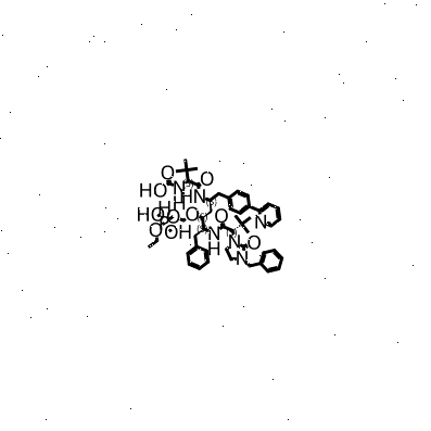 CCO[PH](O)(O)OCO[C@@H](C[C@H](Cc1ccc(-c2ccccn2)cc1)NC(=O)[C@@H](NC(=O)O)C(C)(C)C)[C@H](Cc1ccccc1)NC(=O)[C@@H](N1CCN(Cc2ccccc2)C1=O)C(C)(C)C